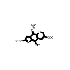 CCCC1=C2N=C(C(=O)[O-])C=C2C(=O)C2=C1C=C(C(=O)[O-])CO2.[Na+].[Na+]